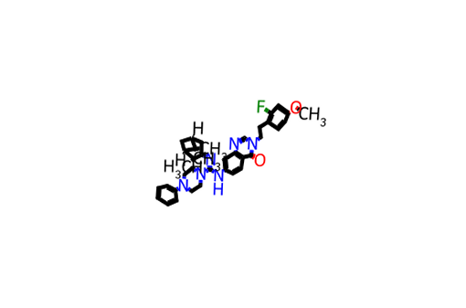 COc1ccc(CCn2cnc3cc(NC(=NC4C[C@@H]5C[C@H]([C@@H]4C)C5(C)C)N4CCN(c5ccccc5)CC4)ccc3c2=O)c(F)c1